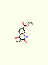 COC(=O)c1ccc2c3c(c(=O)[nH]c2c1)CCO3